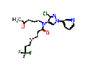 CC(=O)CCCN(C(=O)CCSCCC(F)(F)F)c1cn(-c2cccnc2)nc1Cl